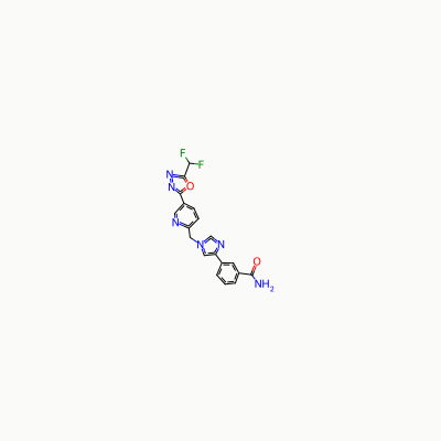 NC(=O)c1cccc(-c2cn(Cc3ccc(-c4nnc(C(F)F)o4)cn3)cn2)c1